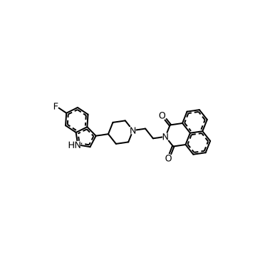 O=C1c2cccc3cccc(c23)C(=O)N1CCN1CCC(c2c[nH]c3cc(F)ccc23)CC1